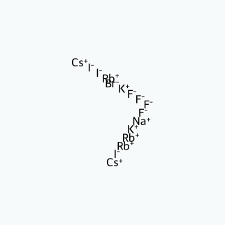 [Br-].[Cs+].[Cs+].[F-].[F-].[F-].[F-].[I-].[I-].[I-].[K+].[K+].[Na+].[Rb+].[Rb+].[Rb+]